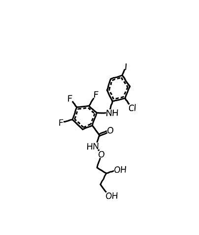 O=C(NOCC(O)CO)c1cc(F)c(F)c(F)c1Nc1ccc(I)cc1Cl